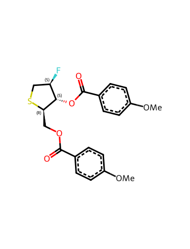 COc1ccc(C(=O)OC[C@H]2SC[C@@H](F)[C@@H]2OC(=O)c2ccc(OC)cc2)cc1